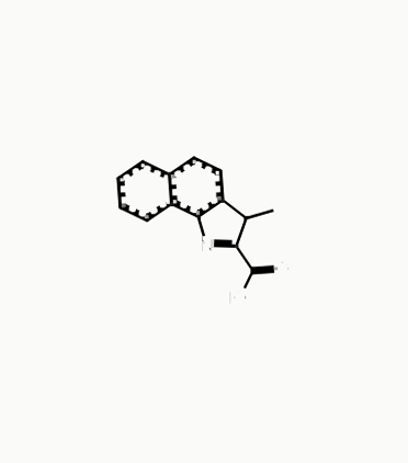 CC1C(C(=O)O)=Nc2c1ccc1ccccc21